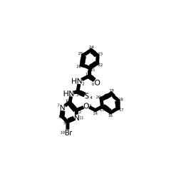 O=C(NC(=S)Nc1ncc(Br)nc1OCc1ccccc1)c1ccccc1